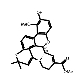 COC(=O)C1=C[C@@H]([C@@H]2Oc3ccc(O)c(OC)c3-c3ccc4c(c32)C(C)=CC(C)(C)N4)CCC1